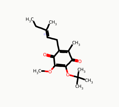 CC/C(C)=C/CC1=C(C)C(=O)C(OC(C)(C)C)=C(OC)C1=O